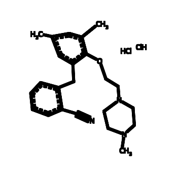 Cc1cc(C)c(OCCN2CCN(C)CC2)c(Cc2ccccc2C#N)c1.Cl.Cl